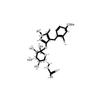 COc1ccc(Cc2c(O[C@]3(O)O[C@H](COC(=O)C(C)C)[C@@H](O)[C@H](O)[C@H]3O)nn(C(C)C)c2C)c(F)c1